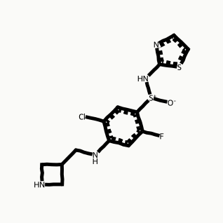 [O-][S+](Nc1nccs1)c1cc(Cl)c(NCC2CNC2)cc1F